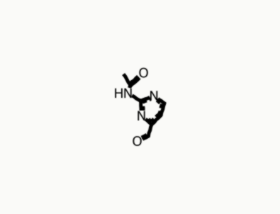 CC(=O)Nc1nccc(C=O)n1